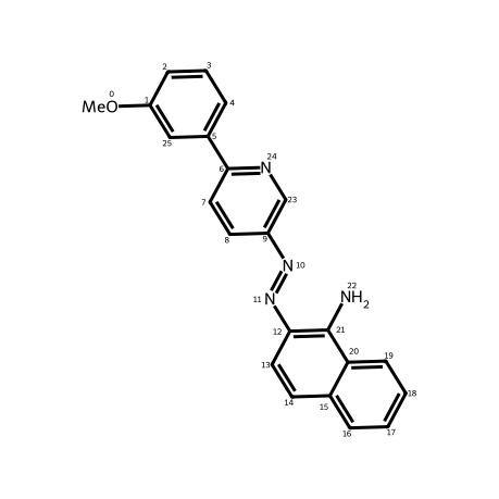 COc1cccc(-c2ccc(N=Nc3ccc4ccccc4c3N)cn2)c1